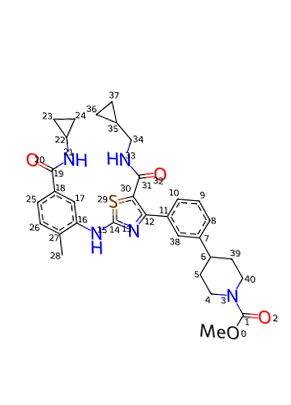 COC(=O)N1CCC(c2cccc(-c3nc(Nc4cc(C(=O)NC5CC5)ccc4C)sc3C(=O)NCC3CC3)c2)CC1